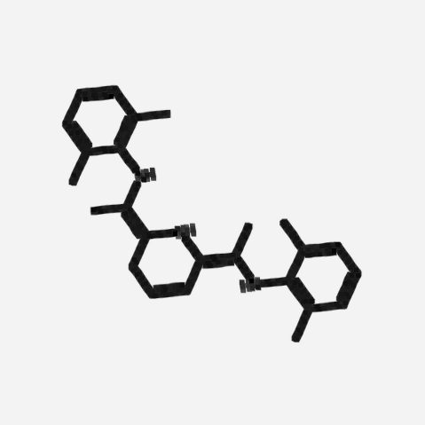 C/C(Nc1c(C)cccc1C)=C1\CC=C/C(=C(/C)Nc2c(C)cccc2C)N1